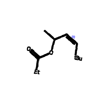 CCC(=O)OC(C)/C=C\C(C)(C)C